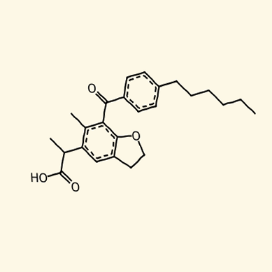 CCCCCCc1ccc(C(=O)c2c(C)c(C(C)C(=O)O)cc3c2OCC3)cc1